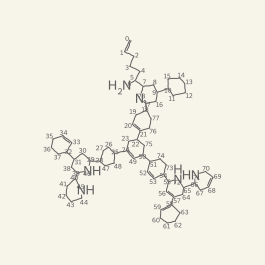 C=CCCCC(N)C1CC(C2CCCCC2)CC(C2CC=C(C3CC(C4CCC(C5CC(C6C=CCCC6)CC(C6CCCCN6)N5)CC4)=CC(C4C=CC(C5C=C(C6=CCCCC6)CC(C6CC=CCN6)N5)CC4)C3)CC2)=N1